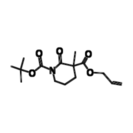 C=CCOC(=O)C1(C)CCCN(C(=O)OC(C)(C)C)C1=O